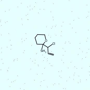 C=CC(Cl)C1([SiH3])CCCCO1